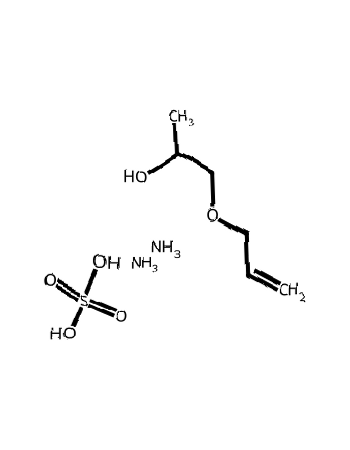 C=CCOCC(C)O.N.N.O=S(=O)(O)O